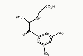 O=C(O)CNC(C(=O)O)C(=O)c1cc([N+](=O)[O-])cc([N+](=O)[O-])c1